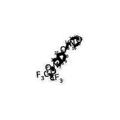 O=C(OC(C(F)(F)F)C(F)(F)F)N1Cc2ccc(OCCN3CCOCC3)cc2C1